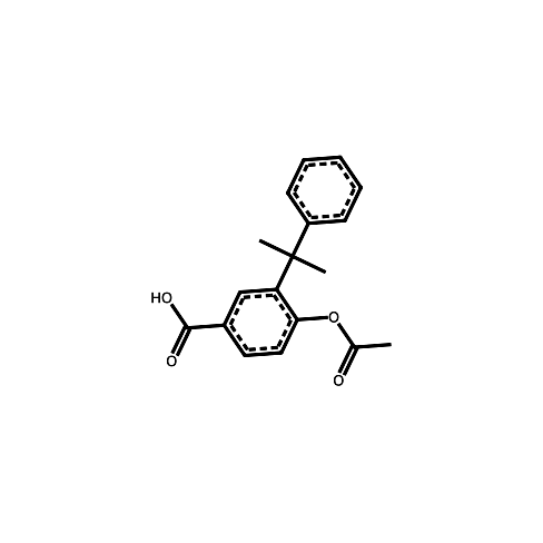 CC(=O)Oc1ccc(C(=O)O)cc1C(C)(C)c1ccccc1